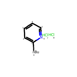 CCCCc1ccccn1.Cl.Cl